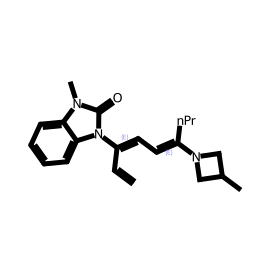 C=C/C(=C\C=C(/CCC)N1CC(C)C1)n1c(=O)n(C)c2ccccc21